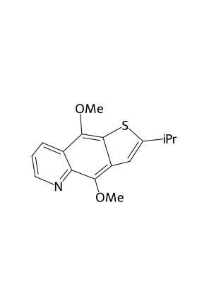 COc1c2cc(C(C)C)sc2c(OC)c2cccnc12